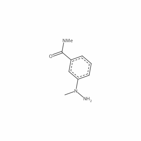 CNC(=O)c1cccc(N(C)N)c1